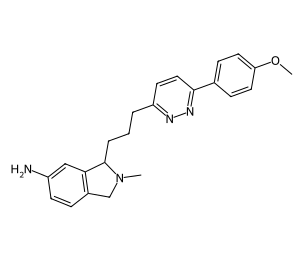 COc1ccc(-c2ccc(CCCC3c4cc(N)ccc4CN3C)nn2)cc1